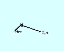 CCCCCCC=CCCCCCCCCCCCC(=O)OCCCCCCCCCCCCCCCCCCCCCCCCCCCC(=O)O